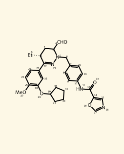 CC[C@@H]1CC(C=O)N(Cc2ccc(NC(=O)c3cnco3)cc2)N=C1c1ccc(OC)c(OC2CCCC2)c1